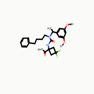 CCOc1cc(OCC)cc(C(C)N(CCCCc2ccccc2)C(=O)NC2(C(=O)OC)CC(F)(F)C2)c1